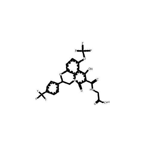 O=C(O)CNC(=O)c1c(O)c2c(OC(F)(F)F)ccc3c2n(c1=O)CC(c1ccc(C(F)(F)F)cc1)O3